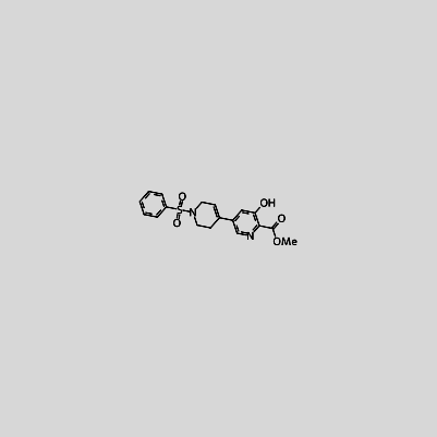 COC(=O)c1ncc(C2=CCN(S(=O)(=O)c3ccccc3)CC2)cc1O